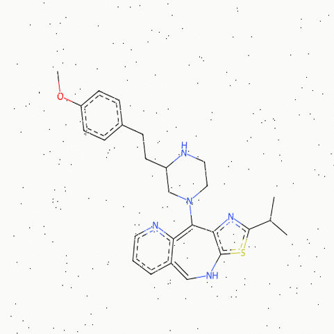 COc1ccc(CCC2CN(C3=c4ncccc4=CNc4sc(C(C)C)nc43)CCN2)cc1